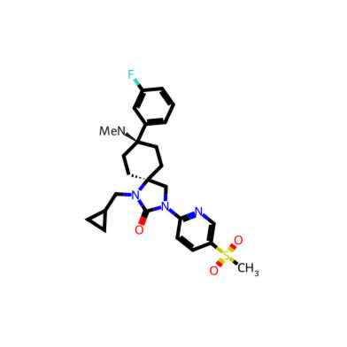 CN[C@]1(c2cccc(F)c2)CC[C@]2(CC1)CN(c1ccc(S(C)(=O)=O)cn1)C(=O)N2CC1CC1